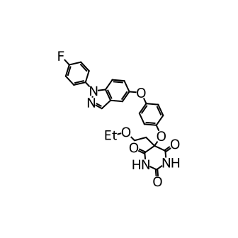 CCOCCC1(Oc2ccc(Oc3ccc4c(cnn4-c4ccc(F)cc4)c3)cc2)C(=O)NC(=O)NC1=O